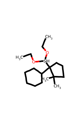 CCO[SiH](OCC)C1(C2CCCCC2)CCCC1(C)C